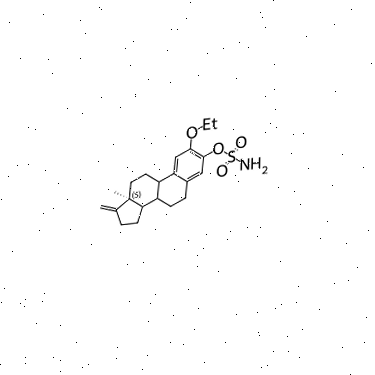 C=C1CCC2C3CCc4cc(OS(N)(=O)=O)c(OCC)cc4C3CC[C@]12C